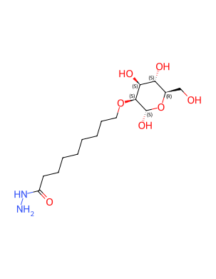 NNC(=O)CCCCCCCCO[C@H]1[C@@H](O)[C@H](O)[C@@H](CO)O[C@@H]1O